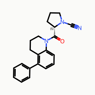 N#CN1CCC[C@H]1C(=O)N1CCCc2c(-c3ccccc3)cccc21